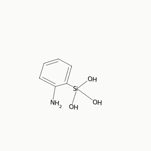 Nc1ccccc1[Si](O)(O)O